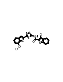 CCOc1cccc2cc(-c3nnc(NC(=O)c4sc5ccccc5c4Cl)o3)oc12